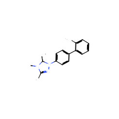 CCCCC1=NN(c2ccc(-c3ccccc3C#N)cc2)C(CCCC)N1C